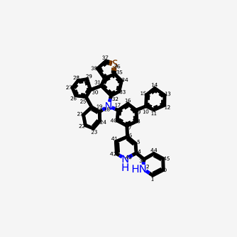 C1=CNC(C2C=C(c3cc(-c4ccccc4)cc(N4C5=C(CCC=C5)c5ccccc5-c5c4ccc4sccc54)c3)C=CN2)C=C1